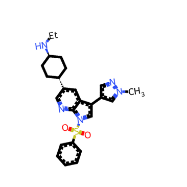 CCN[C@H]1CC[C@H](c2cnc3c(c2)c(-c2cnn(C)c2)cn3S(=O)(=O)c2ccccc2)CC1